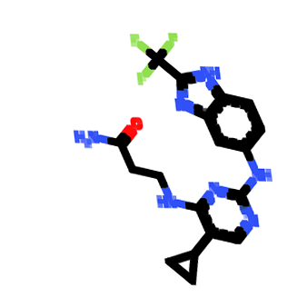 NC(=O)CCNc1nc(Nc2ccc3[nH]c(C(F)(F)F)nc3c2)ncc1C1CC1